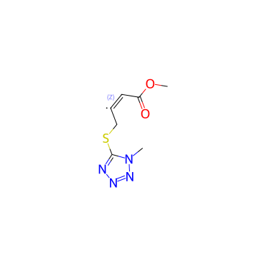 COC(=O)/C=[C]\CSc1nnnn1C